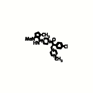 CNC1=C(C(=N)N2CCN(C(=O)[C@H](CN3CCN(C)CC3)c3ccc(Cl)cc3)CC2)[C@H](C)CC1